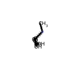 CCCCCCCC/C=C\CCCCCCCCOS(=O)(=O)OCCN(CCO)CCO